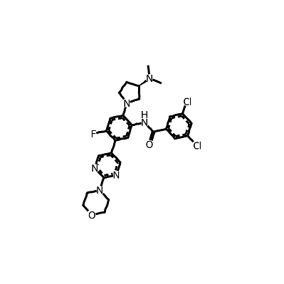 CN(C)[C@@H]1CCN(c2cc(F)c(-c3cnc(N4CCOCC4)nc3)cc2NC(=O)c2cc(Cl)cc(Cl)c2)C1